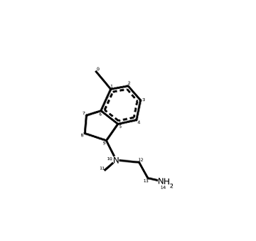 Cc1cccc2c1CCC2N(C)CCN